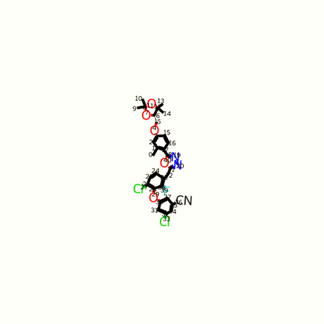 Cc1cc(OC[C@@H]2OC(C)(C)OC2(C)C)ccc1-c1nnc(Cc2ccc(Cl)c(Oc3cc(Cl)cc(C#N)c3)c2F)o1